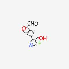 O=CC1OCc2cc(-c3cncc(F)c3CO)ccc21